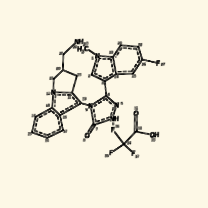 Cn1cc(-c2n[nH]c(=O)n2-c2c3n(c4ccccc24)CC(CN)C3)c2cc(F)ccc21.O=C(O)C(F)(F)F